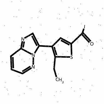 CCc1sc(C(=O)I)cc1-c1cnc2cccnn12